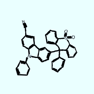 N#Cc1ccc2c(c1)c1cc(C3(c4ccccc4)c4ccccc4S(=O)(=O)c4ccccc43)ccc1n2-c1ccccc1